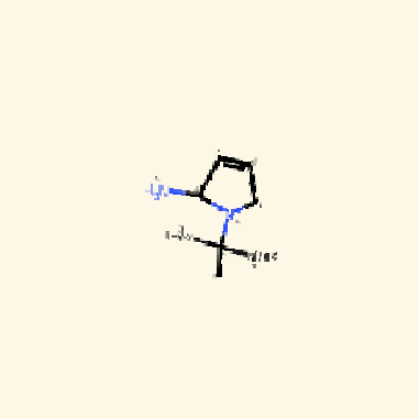 CCCCCCC(C)(CCCCCC)N1CC=CC1N